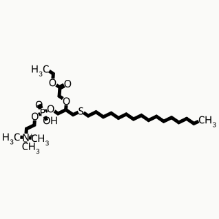 CCCCCCCCCCCCCCCCSCC(COP(=O)(O)OCC[N+](C)(C)C)OCC(=O)OCC